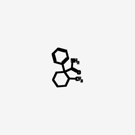 NC(=O)C1(c2ccccc2)CCCCC1C(F)(F)F